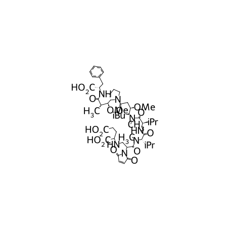 CC[C@H](C)[C@@H]([C@@H](CC(=O)N1CCC[C@H]1[C@@H](OC)[C@@H](C)C(=O)N[C@@H](Cc1ccccc1)C(=O)O)OC)N(C)C(=O)[C@H](NC(=O)[C@H](C(C)C)N(C)C(=O)C(CNC(CCC(=O)O)C(=O)O)N1C(=O)C=CC1=O)C(C)C